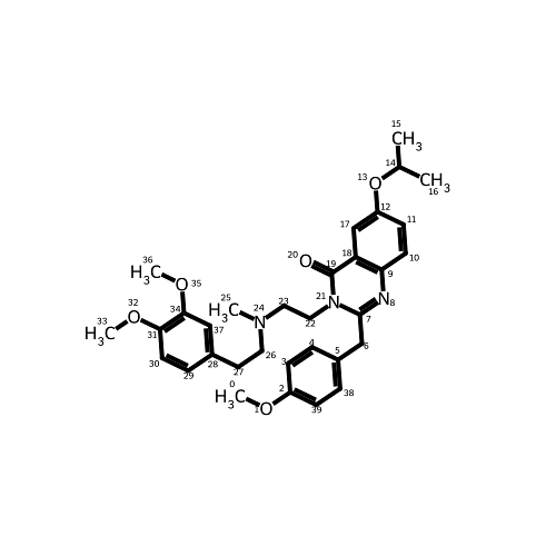 COc1ccc(Cc2nc3ccc(OC(C)C)cc3c(=O)n2CCN(C)CCc2ccc(OC)c(OC)c2)cc1